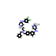 O=C(O)N1CCC(Nc2ccc(Cl)c(Cl)c2)C[C@@H]1CCCN(Cc1ccccc1)Cc1ccccc1.O=C(O)N1CCC(Nc2cccc(F)c2)CC1